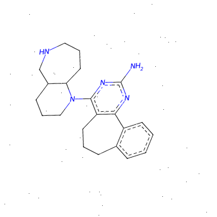 Nc1nc2c(c(N3CCCC4CNCCCC43)n1)CCCc1ccccc1-2